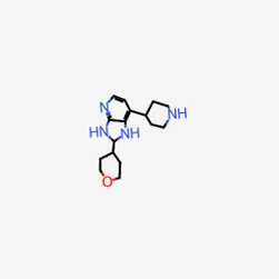 c1cc(C2CCNCC2)c2c(n1)NC(C1CCOCC1)N2